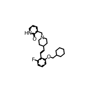 O=c1[nH]cccc1CN1CCC(C=Cc2c(F)cccc2OCC2CCCCC2)CC1